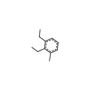 CCc1c[c]cc(F)c1CC